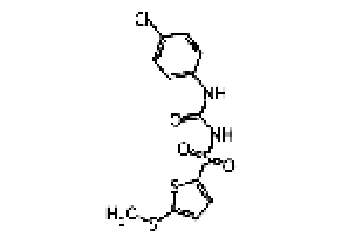 CSc1ccc(S(=O)(=O)NC(=O)Nc2ccc(Cl)cc2)s1